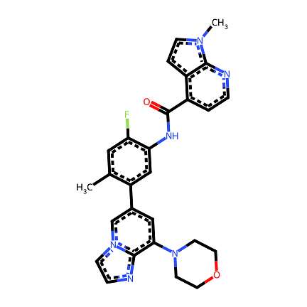 Cc1cc(F)c(NC(=O)c2ccnc3c2ccn3C)cc1-c1cc(N2CCOCC2)c2nccn2c1